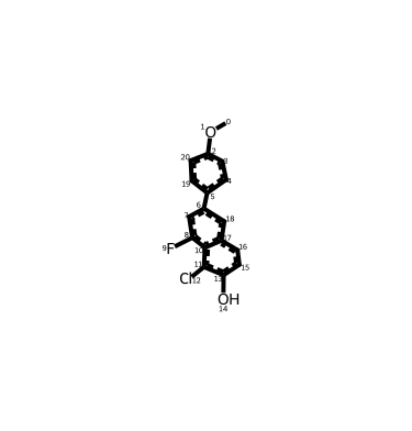 COc1ccc(-c2cc(F)c3c(Cl)c(O)ccc3c2)cc1